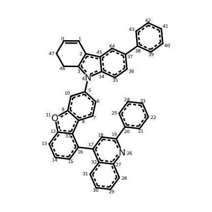 C1=Cc2c(n(-c3ccc4c(c3)oc3cccc(-c5cc(-c6ccccc6)nc6ccccc56)c34)c3ccc(-c4ccccc4)cc23)CC1